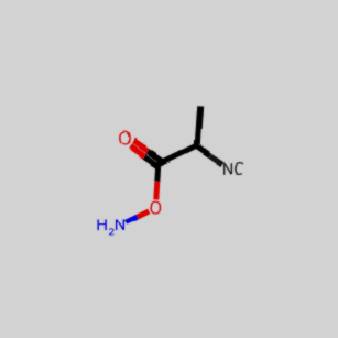 [C-]#[N+]C(C)C(=O)ON